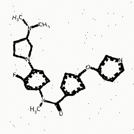 CN(C(=O)c1ccc(Oc2cccnc2)cc1)c1ccc(N2CCC(N(C)C)C2)c(F)c1